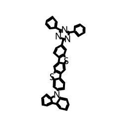 c1ccc(-c2nc(-c3ccccc3)nc(-c3ccc4c(c3)sc3cc5c(cc34)sc3cc(-n4c6ccccc6c6ccccc64)ccc35)n2)cc1